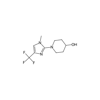 Cn1cc(C(F)(F)F)nc1N1CCC(O)CC1